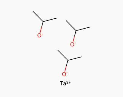 CC(C)[O-].CC(C)[O-].CC(C)[O-].[Ta+3]